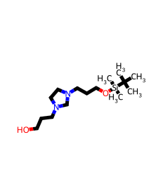 CC(C)(C)[Si](C)(C)OCCCN1CCN(CCCO)C1